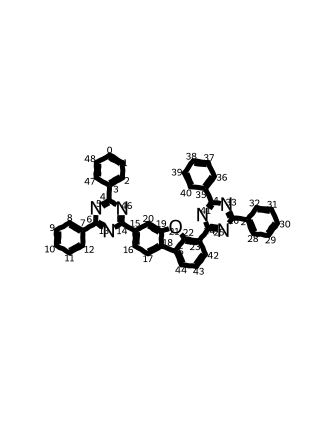 c1ccc(-c2nc(-c3ccccc3)nc(-c3ccc4c(c3)oc3c(-c5nc(-c6ccccc6)nc(-c6ccccc6)n5)cccc34)n2)cc1